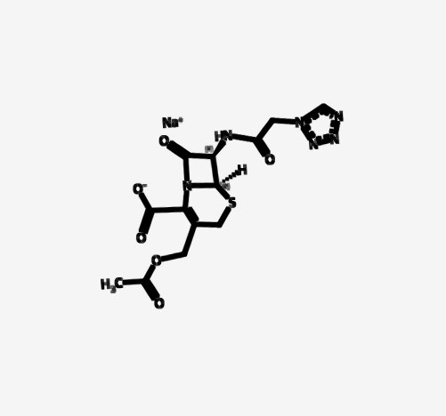 CC(=O)OCC1=C(C(=O)[O-])N2C(=O)[C@@H](NC(=O)Cn3cnnn3)[C@H]2SC1.[Na+]